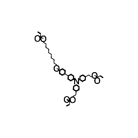 C=CC(=O)OCCCCCCCCCCOc1ccc(-c2ccc(N(c3ccc(CCOC(=O)C=C)cc3)c3ccc(CCOC(=O)C=C)cc3)cc2)cc1